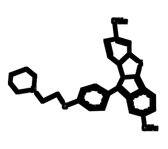 COC1=CC2SC3=c4ccc(OC)cc4=C(c4ccc(OCCN5CCCCC5)cc4)C3C2C=C1